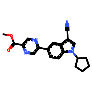 COC(=O)c1cnc(-c2ccc3c(c2)c(C#N)cn3C2CCCC2)cn1